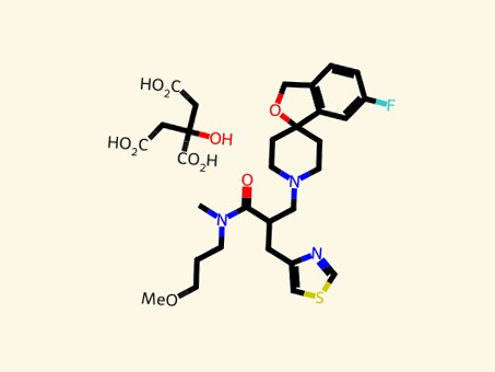 COCCCN(C)C(=O)C(Cc1cscn1)CN1CCC2(CC1)OCc1ccc(F)cc12.O=C(O)CC(O)(CC(=O)O)C(=O)O